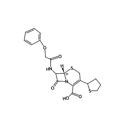 O=C(COc1ccccc1)NC1C(=O)N2C(C(=O)O)=C(C3CCCS3)CS[C@@H]12